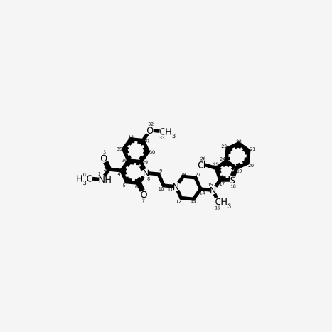 CNC(=O)c1cc(=O)n(CCN2CCC(N(C)c3sc4ccccc4c3Cl)CC2)c2cc(OC)ccc12